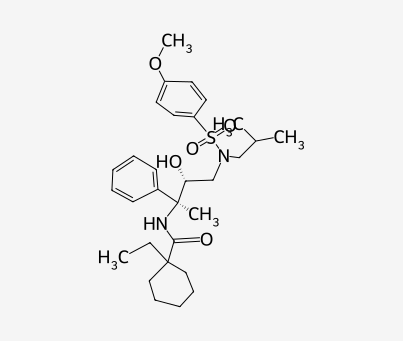 CCC1(C(=O)N[C@@](C)(c2ccccc2)[C@H](O)CN(CC(C)C)S(=O)(=O)c2ccc(OC)cc2)CCCCC1